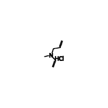 C=CCN(C)C=C.Cl